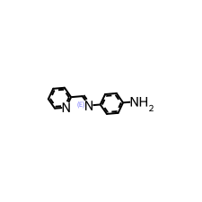 Nc1ccc(/N=C/c2ccccn2)cc1